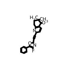 CC1(C)CCc2nc(C#Cc3nc(F)c(-c4ccccc4)o3)ccc2C1=O